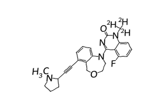 [2H]C([2H])([2H])n1c(=O)nc(N2CCOCc3c(C#CC4CCCN4C)cccc32)c2c(F)cccc21